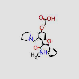 CNC(=O)c1c(-c2ccccc2)oc2cc(OCC(=O)O)cc(CN3CCCCC3)c12